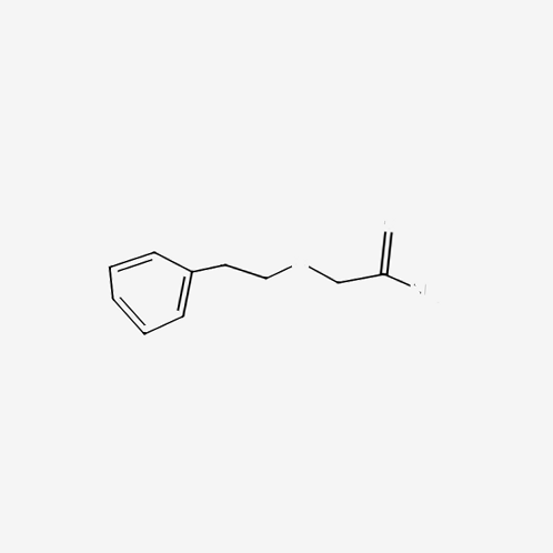 NC(=O)COC[CH]c1ccccc1